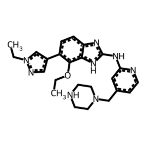 CCOc1c(-c2cnn(CC)c2)ccc2nc(Nc3cc(CN4CCNCC4)ccn3)[nH]c12